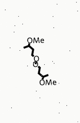 COC(C)CCOOCCC(C)OC